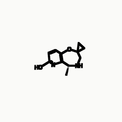 C[C@H]1NCC2(CC2)Oc2ccc(O)nc21